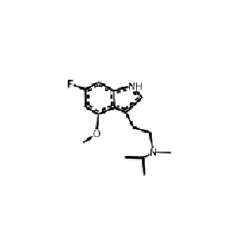 COc1cc(F)cc2[nH]cc(CCN(C)C(C)C)c12